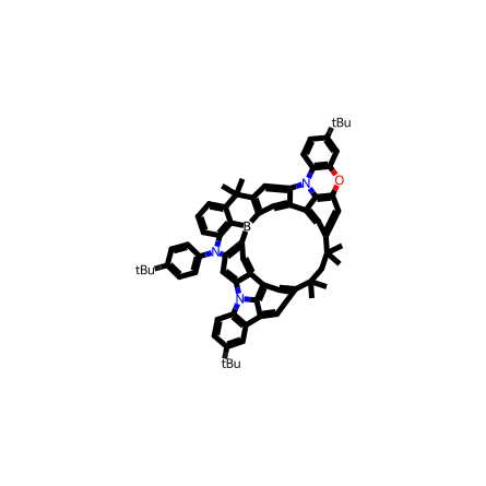 CC(C)(C)c1ccc(N2c3cc4c5cc3B3c6cc7c8cc(cc9c8n(c7cc6C(C)(C)c6cccc2c63)-c2ccc(C(C)(C)C)cc2O9)C(C)(C)CC(C)(C)c2cc3c6cc(C(C)(C)C)ccc6n4c3c5c2)cc1